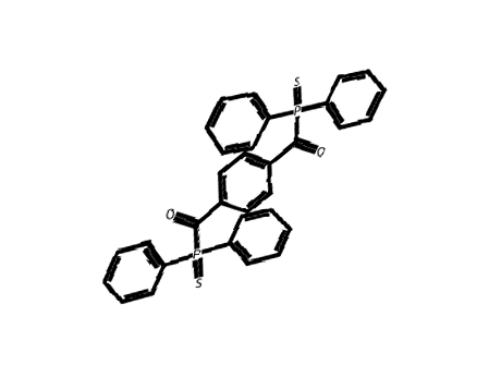 O=C(c1ccc(C(=O)P(=S)(c2ccccc2)c2ccccc2)cc1)P(=S)(c1ccccc1)c1ccccc1